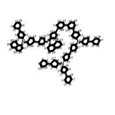 c1ccc(-c2ccc(N(c3ccc(-c4ccccc4)cc3)c3ccc(-c4ccc(N(c5ccc(-c6ccccc6)cc5)c5ccc(-c6cccc(-c7cccc(-c8ccc(N(c9ccc(-c%10ccc(N(c%11ccc(-c%12ccccc%12)cc%11)c%11cccc%12ccccc%11%12)cc%10)cc9)c9cccc%10ccccc9%10)cc8)c7)c6)cc5)cc4)cc3)cc2)cc1